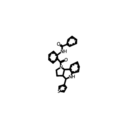 O=C(Nc1ccccc1C(=O)N1CCC2C(c3ccsc3)Nc3ccccc3C21)c1ccccc1